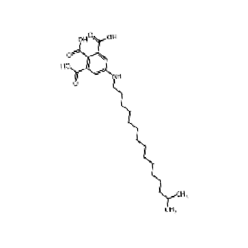 CC(C)CCCCCCCCCCCCCNc1cc(C(=O)O)c(C(=O)O)c(C(=O)O)c1